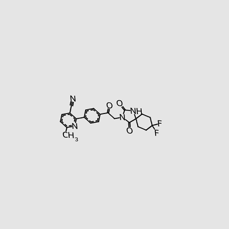 Cc1ccc(C#N)c(-c2ccc(C(=O)CN3C(=O)NC4(CCC(F)(F)CC4)C3=O)cc2)n1